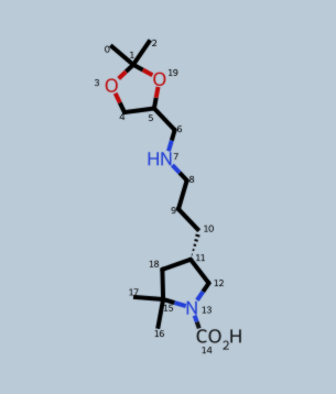 CC1(C)OCC(CNCCC[C@@H]2CN(C(=O)O)C(C)(C)C2)O1